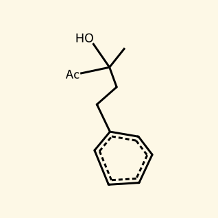 CC(=O)C(C)(O)CCc1ccccc1